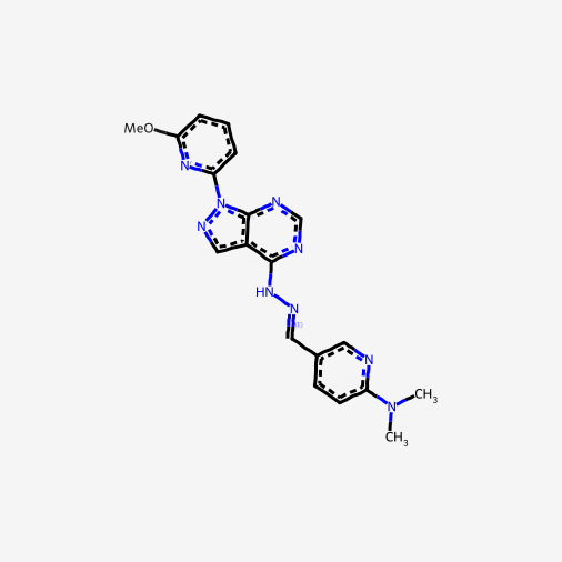 COc1cccc(-n2ncc3c(N/N=C/c4ccc(N(C)C)nc4)ncnc32)n1